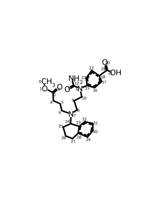 COC(=O)CCCN(CCCN(C(N)=O)c1ccc(C(=O)O)cc1)C1CCCc2ccccc21